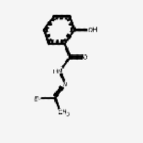 CC/C(C)=N\NC(=O)c1ccccc1O